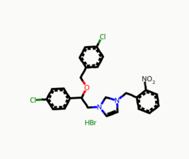 Br.O=[N+]([O-])c1ccccc1CN1C=CN(CC(OCc2ccc(Cl)cc2)c2ccc(Cl)cc2)C1